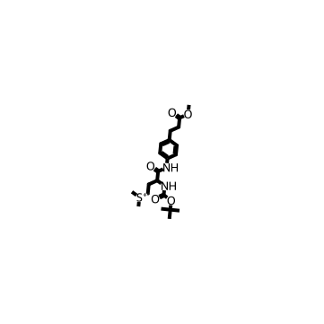 COC(=O)CCc1ccc(NC(=O)C(CC[S+](C)C)NC(=O)OC(C)(C)C)cc1